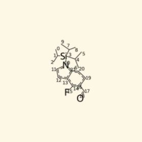 CC(C)[Si](C(C)C)(C(C)C)n1ccc2c(F)c(C=O)ccc21